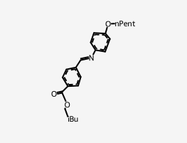 CCCCCOc1ccc(N=Cc2ccc(C(=O)OCC(C)CC)cc2)cc1